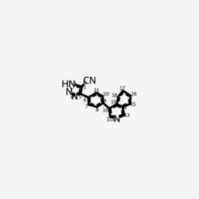 N#Cc1[nH]nnc1-c1ccc(-c2cncc3ccccc23)cc1